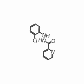 O=C(NNc1ccccc1Cl)c1ccccn1